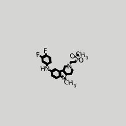 Cn1c2c(c3cc(Nc4ccc(F)c(F)c4)ccc31)CN(CCS(C)(=O)=O)CC2